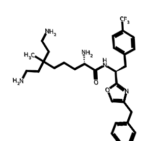 CC(CCN)(CCN)CCC[C@H](N)C(=O)N[C@@H](Cc1ccc(C(F)(F)F)cc1)c1nc(Cc2ccccc2)co1